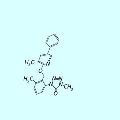 Cc1cc(-c2ccccc2)cnc1OCc1c(C)cccc1-n1nnn(C)c1=O